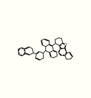 C1=CC2=C(C3CCCc4oc5c6c(ccc5c43)CCC=C6)C3=CCCC=C3C(C3C=C(C4C=c5ccccc5=CC4)C=CC3)C2C=C1